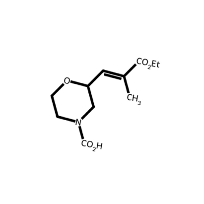 CCOC(=O)/C(C)=C/C1CN(C(=O)O)CCO1